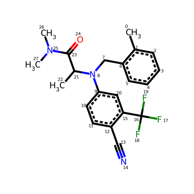 Cc1ccccc1CN(c1ccc(C#N)c(C(F)(F)F)c1)C(C)C(=O)N(C)C